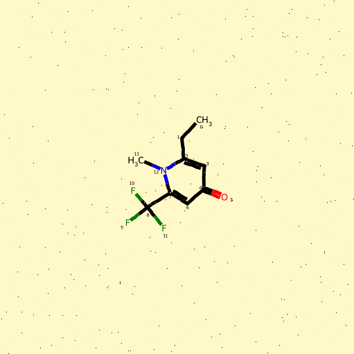 CCc1cc(=O)cc(C(F)(F)F)n1C